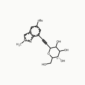 CCCCc1cc(C#CC2OC(CO)[C@@H](O)C(O)C2O)c2nn(C)cc2c1